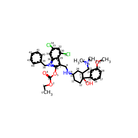 CCOC(=O)Oc1c(CNC2CCC(O)(c3cccc(OC)c3)C(CN(C)C)C2)c2c(Cl)cc(Cl)cc2n1Cc1ccccc1